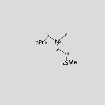 CCCCN(C)CCSC